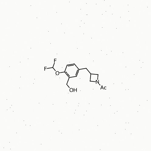 CC(=O)N1CC(Cc2ccc(OC(F)F)c(CO)c2)C1